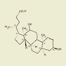 C[C@H](CCC(=O)O)[C@H]1CC[C@H]2[C@@H]3CC[C@@H]4C[C@H](O)CC[C@]4(C)C3CC(O)[C@]12C